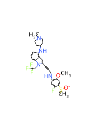 COc1cc([S+](C)[O-])c(F)cc1NCC#Cc1cc2c(NC3CCN(C)CC3)cccc2n1CC(F)(F)F